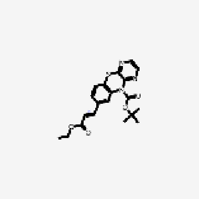 CCOC(=O)/C=C/c1ccc2c(c1)N(C(=O)OC(C)(C)C)c1nccnc1S2